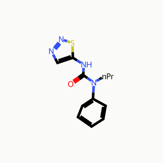 CCCN(C(=O)Nc1cnns1)c1ccccc1